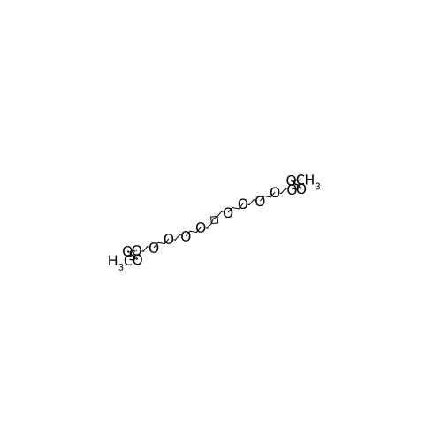 CS(=O)(=O)OCCOCCOCCOCCOCC12CC(COCCOCCOCCOCCOS(C)(=O)=O)(C1)C2